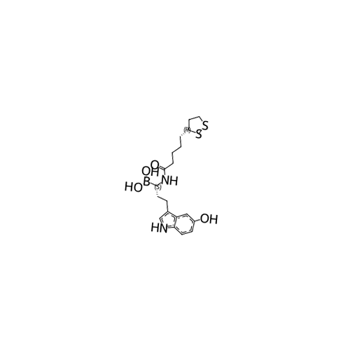 O=C(CCCC[C@@H]1CCSS1)N[C@H](CCc1c[nH]c2ccc(O)cc12)B(O)O